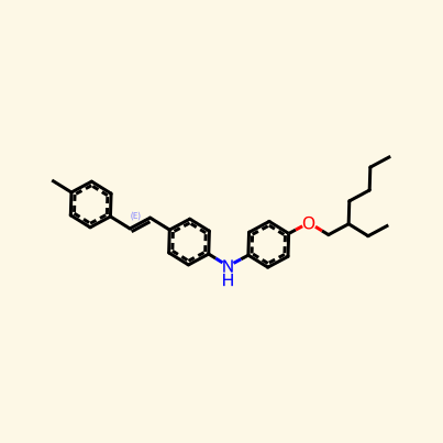 CCCCC(CC)COc1ccc(Nc2ccc(/C=C/c3ccc(C)cc3)cc2)cc1